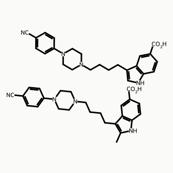 Cc1[nH]c2ccc(C(=O)O)cc2c1CCCCN1CCN(c2ccc(C#N)cc2)CC1.N#Cc1ccc(N2CCN(CCCCc3c[nH]c4ccc(C(=O)O)cc34)CC2)cc1